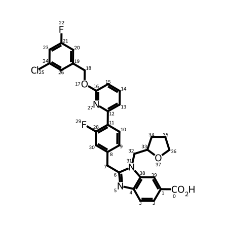 O=C(O)c1ccc2nc(Cc3ccc(-c4cccc(OCc5cc(F)cc(Cl)c5)n4)c(F)c3)n(CC3CCCO3)c2c1